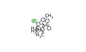 CCC1=C(CC)C(CC)[C]([Zr+2](=[C](c2ccccc2)c2ccccc2)[CH]2c3cc(CC)ccc3-c3ccc(CC)cc32)=C1.[Cl-].[Cl-]